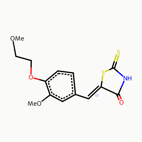 COCCOc1ccc(/C=C2\SC(=S)NC2=O)cc1OC